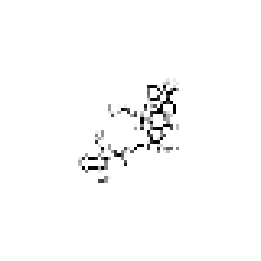 C=CCOC(=O)N1c2cc(OCCCC(=O)N3C[C@@H](CCl)c4c3cc(O)c3ccccc43)c(OC)cc2C(=O)N2CC=C(c3ccsc3)C[C@H]2C1OC1CCCCO1